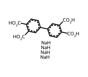 O=C(O)c1ccc(-c2ccc(C(=O)O)c(C(=O)O)c2)cc1C(=O)O.[NaH].[NaH].[NaH].[NaH]